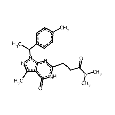 Cc1ccc(C(C)n2nc(C)c3c(=O)[nH]c(CCC(=O)N(C)C)nc32)cc1